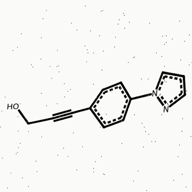 OCC#Cc1ccc(-n2cccn2)cc1